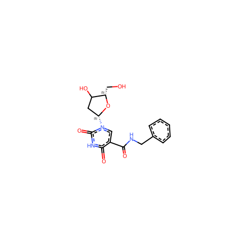 O=C(NCc1ccccc1)c1cn([C@@H]2CC(O)[C@H](CO)O2)c(=O)[nH]c1=O